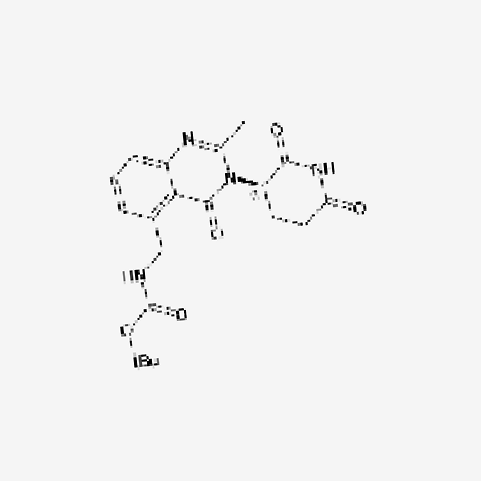 Cc1nc2cccc(CNC(=O)OC(C)(C)C)c2c(=O)n1[C@@H]1CCC(=O)NC1=O